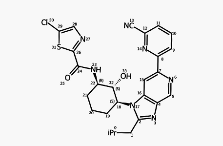 CC(C)Cc1nc2cnc(-c3cccc(C#N)n3)cc2n1[C@H]1CCC[C@@H](NC(=O)c2ncc(Cl)s2)[C@@H]1O